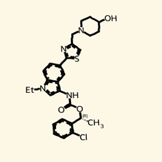 CCn1cc(NC(=O)O[C@H](C)c2ccccc2Cl)c2cc(-c3nc(CN4CCC(O)CC4)cs3)ccc21